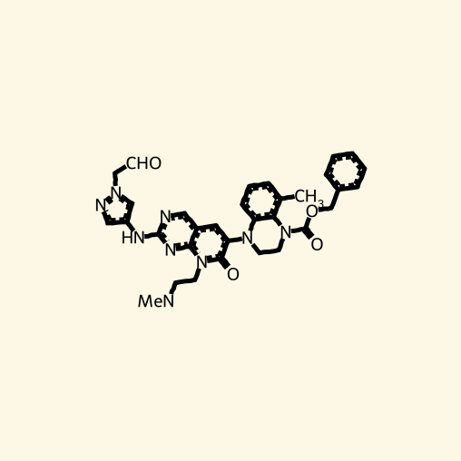 CNCCn1c(=O)c(N2CCN(C(=O)OCc3ccccc3)c3c(C)cccc32)cc2cnc(Nc3cnn(CC=O)c3)nc21